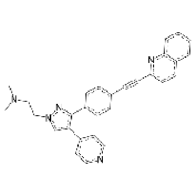 CN(C)CCn1cc(-c2ccncc2)c(-c2ccc(C#Cc3ccc4ccccc4n3)cc2)n1